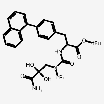 CCCN(CC(O)(O)C(N)=O)C(=O)NC(Cc1ccc(-c2cccc3ccccc23)cc1)C(=O)OC(C)(C)C